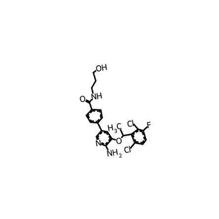 CC(Oc1cc(-c2ccc(C(=O)NCCCO)cc2)cnc1N)c1c(Cl)ccc(F)c1Cl